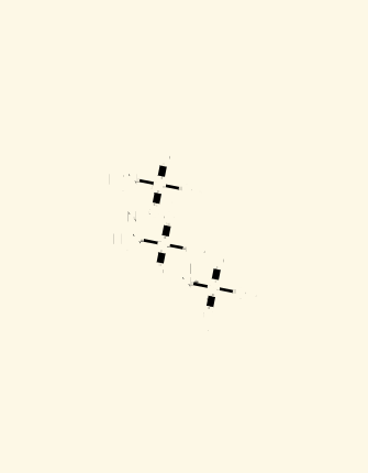 NS(=O)(=O)[O-].NS(=O)(=O)[O-].NS(=O)(=O)[O-].[N+3]